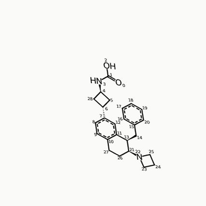 O=C(O)N[C@H]1C[C@H](c2ccc3c(c2)[C@@H](Cc2ccccc2)[C@@H](N2CCC2)CC3)C1